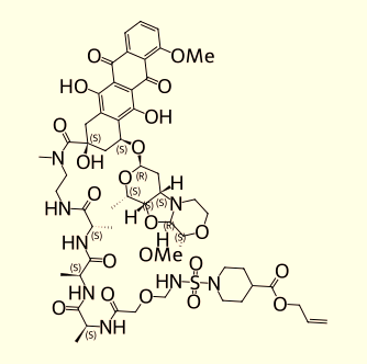 C=CCOC(=O)C1CCN(S(=O)(=O)NCOCC(=O)N[C@@H](C)C(=O)N[C@@H](C)C(=O)N[C@@H](C)C(=O)NCCN(C)C(=O)[C@]2(O)Cc3c(O)c4c(c(O)c3[C@@H](O[C@H]3C[C@H]5[C@H](O[C@@H]6[C@@H](OC)OCCN65)[C@H](C)O3)C2)C(=O)c2c(OC)cccc2C4=O)CC1